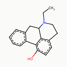 CCN1CCc2ccc(O)c3c2C1Cc1ccccc1-3